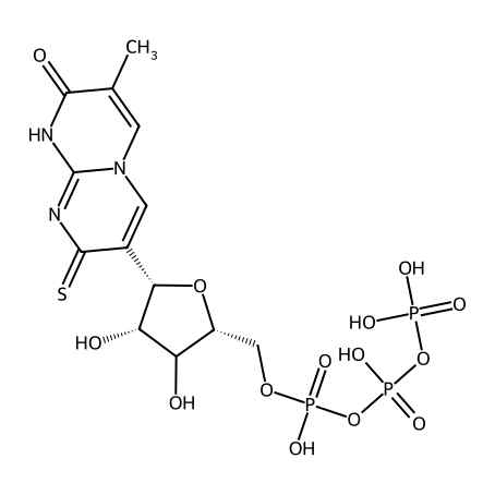 Cc1cn2cc([C@@H]3O[C@H](COP(=O)(O)OP(=O)(O)OP(=O)(O)O)C(O)[C@@H]3O)c(=S)nc2[nH]c1=O